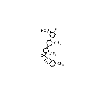 CC1CN([C@@H]2CC[C@](CC(F)(F)F)(C(=O)N3COc4ccc(C(F)(F)F)cc4C3)C2)CCC1c1ccc(F)c(C(=O)O)c1